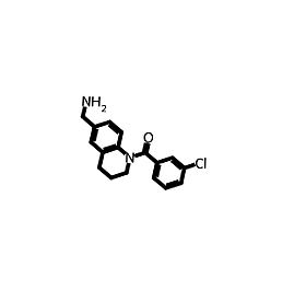 NCc1ccc2c(c1)CCCN2C(=O)c1cccc(Cl)c1